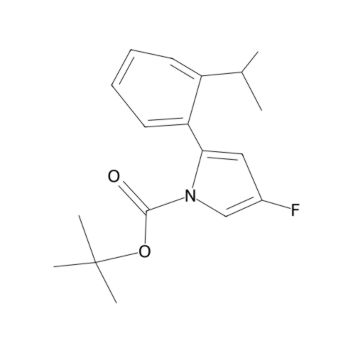 CC(C)c1ccccc1-c1cc(F)cn1C(=O)OC(C)(C)C